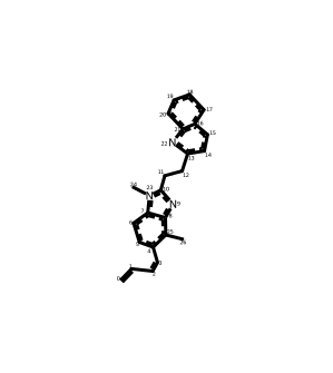 C=C/C=C\c1ccc2c(nc(CCc3ccc4ccccc4n3)n2C)c1C